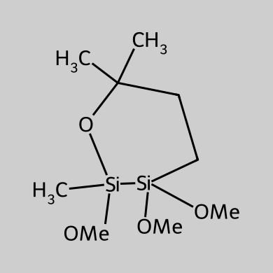 CO[Si]1(C)OC(C)(C)CC[Si]1(OC)OC